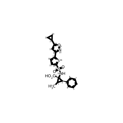 CC1[C@H](c2ccccc2)[C@]1(NS(=O)(=O)c1ccc(-c2cc(C3CC3)on2)s1)C(=O)O